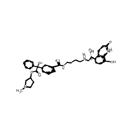 CN1CCC(OC(=O)C(O)(c2ccccc2)c2cccc(C(=O)NCCCCNC[C@H](O)c3ccc(O)c4[nH]c(=O)ccc34)c2)C1